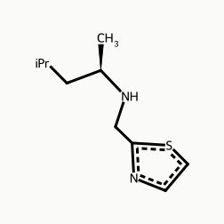 CC(C)C[C@@H](C)NCc1nccs1